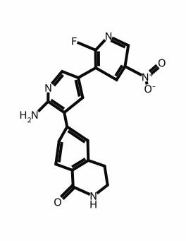 Nc1ncc(-c2cc([N+](=O)[O-])cnc2F)cc1-c1ccc2c(c1)CCNC2=O